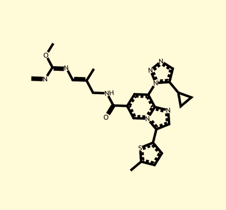 C=N/C(=N\C=C(/C)CNC(=O)c1cc(-n2nncc2C2CC2)c2ncc(-c3ccc(C)s3)n2c1)OC